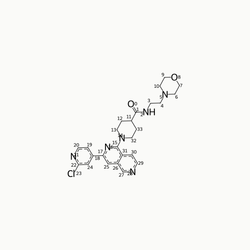 O=C(NCCN1CCOCC1)C1CCN(c2nc(-c3ccnc(Cl)c3)cc3cnccc23)CC1